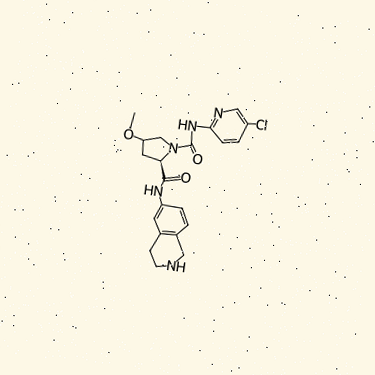 COC1C[C@H](C(=O)Nc2ccc3c(c2)CCNC3)N(C(=O)Nc2ccc(Cl)cn2)C1